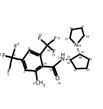 Cc1cc(C(F)(F)F)cc(C(F)(F)F)c1C(=O)N[C@H]1CCC[C@H]1N1CCCC1